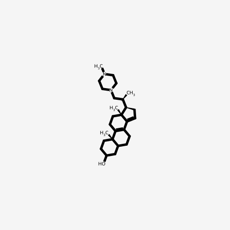 C[C@H](CN1CCN(C)CC1)[C@H]1CC=C2C3=C(CC[C@@]21C)[C@@]1(C)CCC(O)CC1CC3